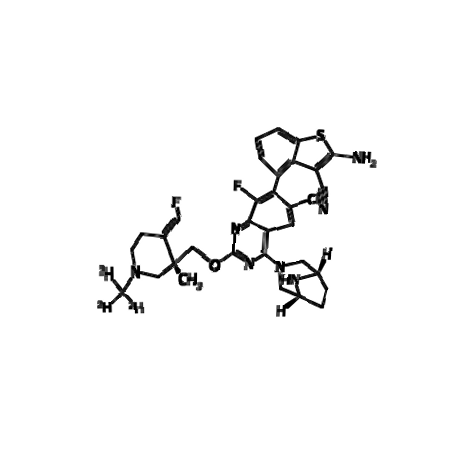 [2H]C([2H])([2H])N1CC/C(=C\F)[C@](C)(COc2nc(N3C[C@H]4CC[C@@H](C3)N4)c3cc(Cl)c(-c4cccc5sc(N)c(C#N)c45)c(F)c3n2)C1